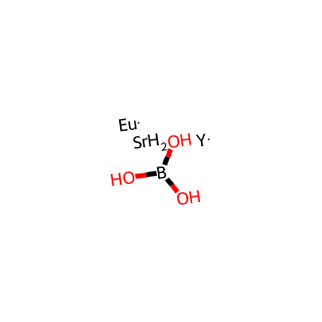 OB(O)O.[Eu].[SrH2].[Y]